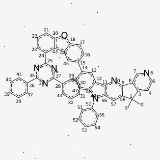 CC1(C)c2ccncc2-c2nc3c4cc(-c5ccc6oc7cccc(-c8nc(-c9ccccc9)nc(-c9ccccc9)n8)c7c6c5)ccc4n(-c4ccccc4)c3cc21